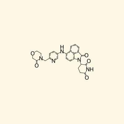 O=C1CCC(N2C(=O)c3cccc4c(Nc5ccc(CN6CCOCC6=O)nc5)ccc2c34)C(=O)N1